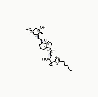 C=C1/C(=C\C=C2/CCC[C@]3(C)[C@@H]([C@@H](C)/C=C/[C@@H](O)C4(c5ncc(CCCCC)s5)CC4)CC[C@@H]23)C[C@@H](O)C[C@@H]1O